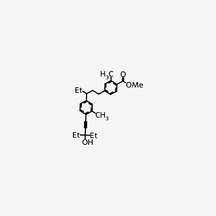 CCC(CCc1ccc(C(=O)OC)c(C)c1)c1ccc(C#CC(O)(CC)CC)c(C)c1